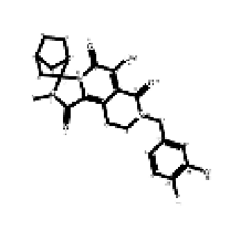 CN1C(=O)c2c3c(c(O)c(=O)n2C12CC1CCC2C1)C(=O)N(Cc1ccc(F)c(Cl)c1)CC3